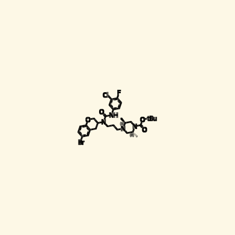 C[C@@H]1CN(CCCN(C(=O)Nc2ccc(F)c(Cl)c2)C2COc3ccc(Br)cc3C2)[C@@H](C)CN1C(=O)OC(C)(C)C